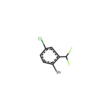 CC(C)c1ccc(Cl)cc1C(F)F